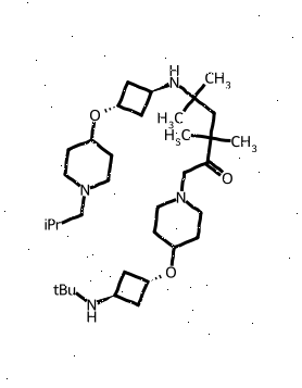 CC(C)CN1CCC(O[C@H]2C[C@H](NC(C)(C)CC(C)(C)C(=O)CN3CCC(O[C@H]4C[C@H](NC(C)(C)C)C4)CC3)C2)CC1